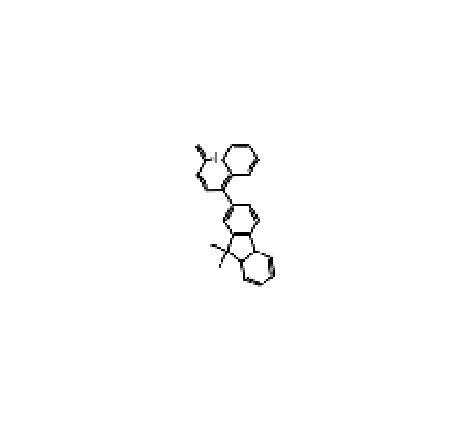 C=C(I)/C=C\C(=C1\C=CC=CC1)c1ccc2c(c1)C(C)(C)C1C=CC=CC21